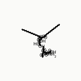 CCCC(=O)O[C@H](COC(=O)CC)COP(=O)(O)OC[C@H](N)C(=O)O.CCCCCCCCCCCCCCCCCC(=O)OCC(COP(=O)(O)OCC(O)CO)OC(=O)CCCCCCCCCCCCCCCCC